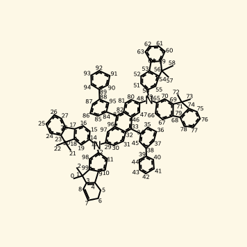 CC1(C)C2=C(CCC=C2)c2ccc(N(c3ccc4c(c3)C(C)(C)c3ccccc3-4)c3ccc4c(-c5cccc(-c6ccccc6)c5)c5cc(N(c6ccc7c(c6)C(C)(C)c6ccccc6-7)c6ccc7c(c6)C(C)(C)c6ccccc6-7)ccc5c(-c5cccc(-c6ccccc6)c5)c4c3)cc21